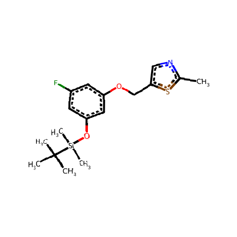 Cc1ncc(COc2cc(F)cc(O[Si](C)(C)C(C)(C)C)c2)s1